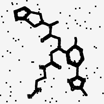 Cc1nc(-c2ccc(C)c(N(CC(=O)NCCNC(C)C)CC(=O)N(C)N3Cc4ccsc4C3)c2)no1